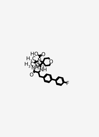 CC(C)(C)N(C(=O)O)C1(C(=O)NC(Cc2ccc(-c3ccc(F)cc3)cc2)C(N)=O)CCOCC1